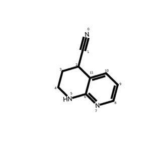 N#CC1CCNc2ncccc21